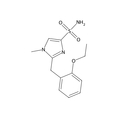 CCOc1ccccc1Cc1nc(S(N)(=O)=O)cn1C